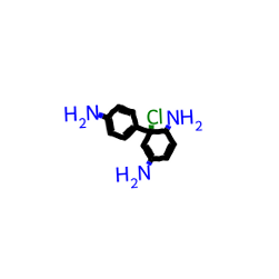 NC1=CC(Cl)(c2ccc(N)cc2)C(N)C=C1